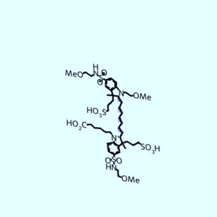 COCCNS(=O)(=O)c1ccc2c(c1)C(C)(CCCS(=O)(=O)O)C(/C=C/C=C/C=C/C=C1/N(CCOC)c3ccc(S(=O)(=O)NCCOC)cc3C1(C)CCCS(=O)(=O)O)=[N+]2CCCCCC(=O)O